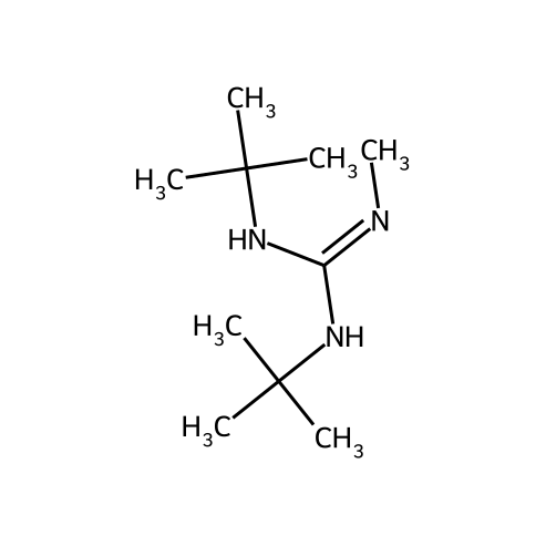 CN=C(NC(C)(C)C)NC(C)(C)C